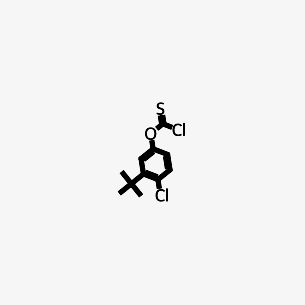 CC(C)(C)c1cc(OC(=S)Cl)ccc1Cl